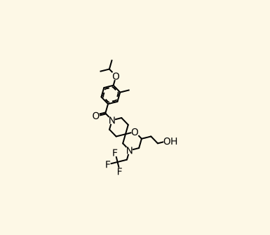 Cc1cc(C(=O)N2CCC3(CC2)CN(CC(F)(F)F)CC(CCO)O3)ccc1OC(C)C